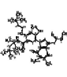 COC(=O)Cn1cc(-c2cc(C(=O)NC(C)(C)CC(C)(C)C)c(OCC[Si](C)(C)C)c3c2OCO3)c2c(=O)n(C)c(C)nc21